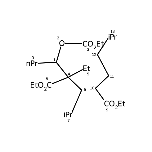 CCCC(OC(=O)OCC)C(CC)(CC(C)C)C(=O)OCC.CCOC(=O)CCCC(C)C